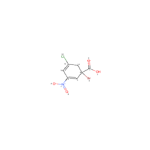 O=C(O)C1(Br)C=C([N+](=O)[O-])C=C(Cl)C1